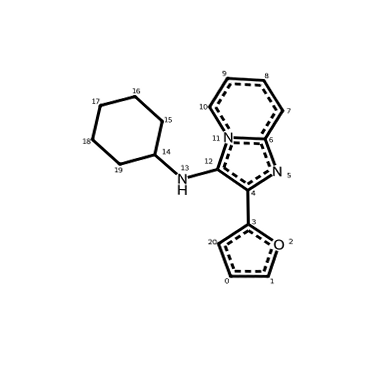 c1coc(-c2nc3ccccn3c2NC2CCCCC2)c1